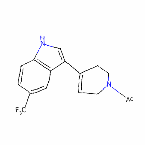 CC(=O)N1CC=C(c2c[nH]c3ccc(C(F)(F)F)cc23)CC1